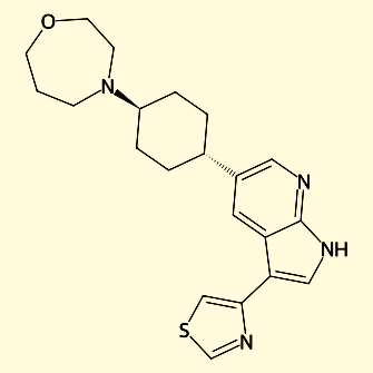 c1nc(-c2c[nH]c3ncc([C@H]4CC[C@H](N5CCCOCC5)CC4)cc23)cs1